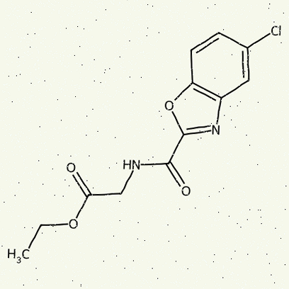 CCOC(=O)CNC(=O)c1nc2cc(Cl)ccc2o1